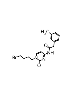 Cc1cccc(CC(=O)Nc2ccn(CCCCBr)c(=O)n2)c1